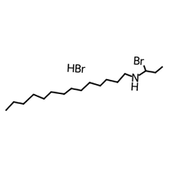 Br.CCCCCCCCCCCCCCNC(Br)CC